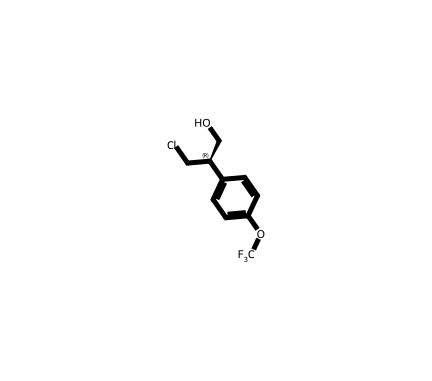 OC[C@H](CCl)c1ccc(OC(F)(F)F)cc1